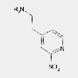 NCCc1ccnc([N+](=O)[O-])c1